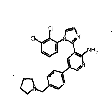 Nc1ncc(-c2ccc(CN3CCCC3)cc2)cc1-c1nccn1-c1cccc(Cl)c1Cl